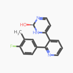 Cc1cc(-c2ncccc2C2=CC=N[C@H](O)N2)ccc1F